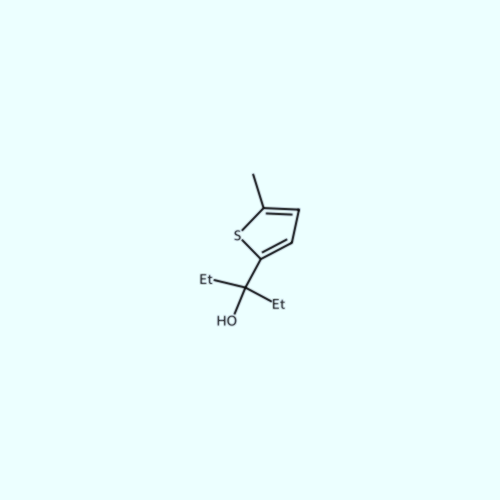 CCC(O)(CC)c1ccc(C)s1